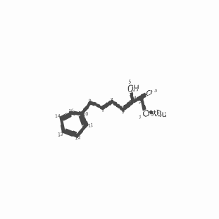 CC(C)(C)OC(=O)C(O)=CCCCc1ccccc1